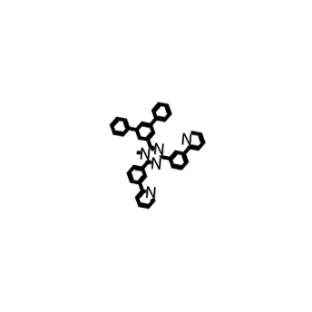 CN1C(C2=CC(c3ccccc3)=CC(c3ccccc3)C2)=NC(c2cccc(-c3ccccn3)c2)=NC1c1cccc(-c2ccccn2)c1